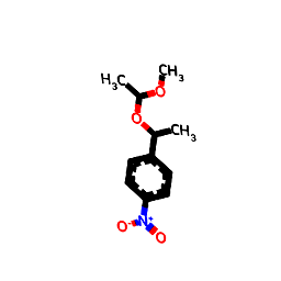 COC(C)OC(C)c1ccc([N+](=O)[O-])cc1